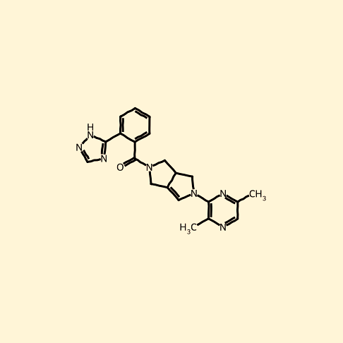 Cc1cnc(C)c(N2C=C3CN(C(=O)c4ccccc4-c4ncn[nH]4)CC3C2)n1